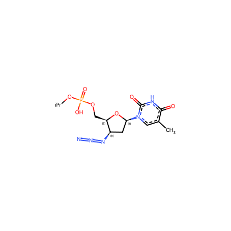 Cc1cn([C@H]2C[C@@H](N=[N+]=[N-])[C@@H](COP(=O)(O)OC(C)C)O2)c(=O)[nH]c1=O